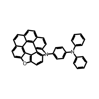 c1ccc(N(c2ccccc2)c2ccc(-n3c4ccc5ccc6ccc7ccc8oc9ccc3c3c9c8c7c6c5c34)cc2)cc1